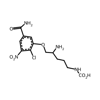 NC(=O)c1cc(OCC(N)CCCNC(=O)O)c(Cl)c([N+](=O)[O-])c1